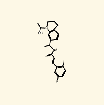 CC(NC(=O)C=Cc1cc(F)ccc1F)c1ccc2c(c1)N(C(C)O)CCC2